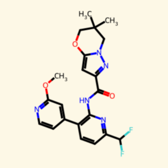 COc1cc(-c2ccc(C(F)F)nc2NC(=O)c2cc3n(n2)CC(C)(C)CO3)ccn1